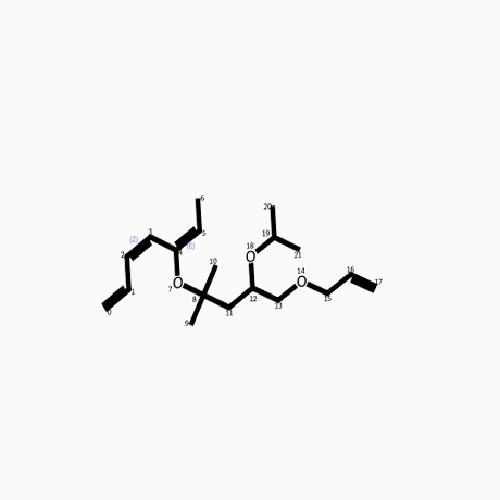 C=C/C=C\C(=C/C)OC(C)(C)CC(COCC=C)OC(C)C